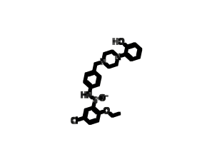 CCOc1ccc(Cl)cc1[S+]([O-])Nc1ccc(CN2CCN(c3ccccc3O)CC2)cc1